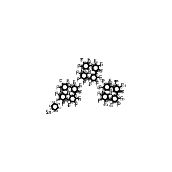 Fc1c(F)c(F)c([B-](c2c(F)c(F)c(F)c(F)c2F)(c2c(F)c(F)c(F)c(F)c2F)c2c(F)c(F)c(F)c(F)c2F)c(F)c1F.Fc1c(F)c(F)c([B-](c2c(F)c(F)c(F)c(F)c2F)(c2c(F)c(F)c(F)c(F)c2F)c2c(F)c(F)c(F)c(F)c2F)c(F)c1F.Fc1c(F)c(F)c([B-](c2c(F)c(F)c(F)c(F)c2F)(c2c(F)c(F)c(F)c(F)c2F)c2c(F)c(F)c(F)c(F)c2F)c(F)c1F.[Sn+3][c]1ccccc1